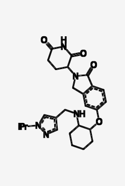 CC(C)n1cc(CNC2CCCCC2Oc2ccc3c(c2)CN(C2CCC(=O)NC2=O)C3=O)cn1